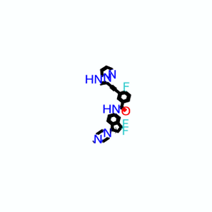 CN1CCN([C@@H]2CC(F)(F)c3cc(NC(=O)c4ccc(F)c(C#CC5=CNC6C=CC=NN56)c4)ccc32)CC1